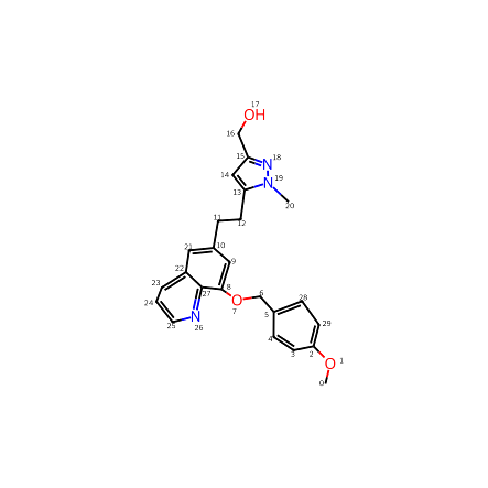 COc1ccc(COc2cc(CCc3cc(CO)nn3C)cc3cccnc23)cc1